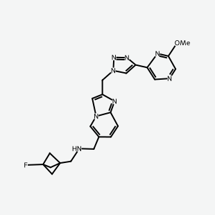 COc1cncc(-c2cn(Cc3cn4cc(CNCC56CC(F)(C5)C6)ccc4n3)nn2)n1